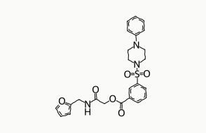 O=C(COC(=O)c1cccc(S(=O)(=O)N2CCN(c3ccccc3)CC2)c1)NCc1ccco1